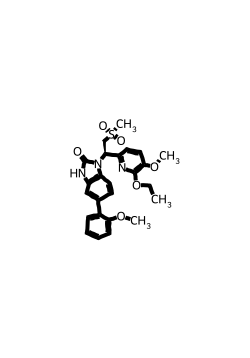 CCOc1nc([C@H](CS(C)(=O)=O)n2c(=O)[nH]c3cc(-c4ccccc4OC)ccc32)ccc1OC